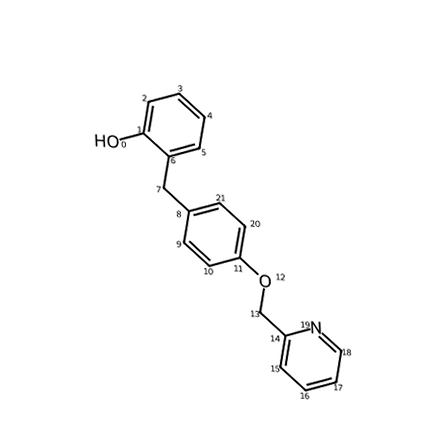 Oc1ccccc1Cc1ccc(OCc2ccccn2)cc1